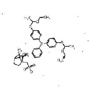 C=COC(C)Oc1ccc([S+](c2ccccc2)c2ccc(OC(C)OC=C)cc2)cc1.CC1(C)C2CCC1(CS(=O)(=O)[O-])C(=O)C2